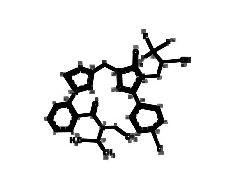 CCN(C(=O)c1ccccc1-n1cnc(Cn2nc(-c3ccc(Cl)cc3)n(CC(O)C(F)(F)F)c2=O)n1)C(C)C